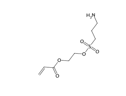 C=CC(=O)OCCOS(=O)(=O)CCCN